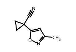 Cc1cc(C2(C#N)CC2)on1